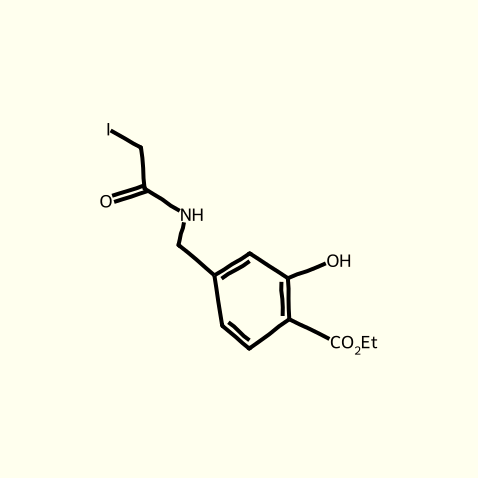 CCOC(=O)c1ccc(CNC(=O)CI)cc1O